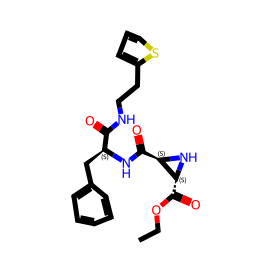 CCOC(=O)[C@H]1N[C@@H]1C(=O)N[C@@H](Cc1ccccc1)C(=O)NCCc1cccs1